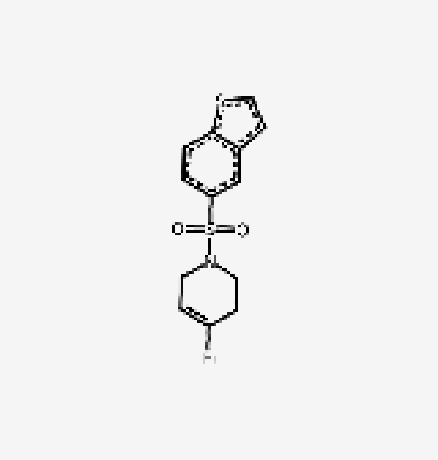 CCC1=CCN(S(=O)(=O)c2ccc3sccc3c2)CC1